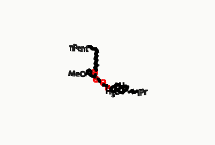 CCCCC/C=C\C/C=C\CCCCCCCCOCC(CC1CCC[C@@H]1COC)OCCOCCO[C@H]1CCC2C(=CC[C@H]3C4CC[C@H](CCCCC(C)C)C4CC[C@]23C)C1